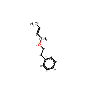 CC=C[SiH2]OCCc1ccccc1